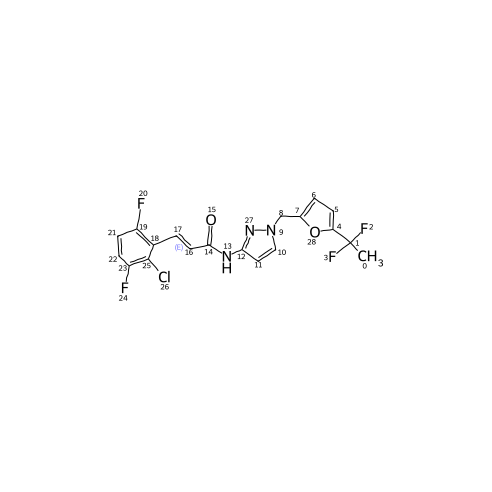 CC(F)(F)c1ccc(Cn2ccc(NC(=O)/C=C/c3c(F)ccc(F)c3Cl)n2)o1